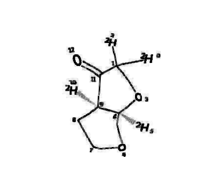 [2H]C1([2H])O[C@@]2([2H])OCC[C@@]2([2H])C1=O